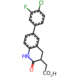 O=C(O)CC1Cc2cc(-c3ccc(Cl)c(F)c3)ccc2NC1=O